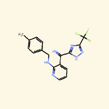 Cc1ccc(CNc2ncccc2C(=N)c2nc(C(F)(F)F)n[nH]2)cc1